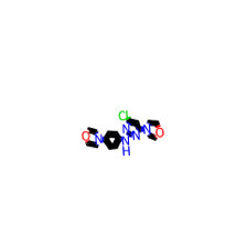 Clc1cc(N2CCOCC2)nc(Nc2ccc(N3CCOCC3)cc2)n1